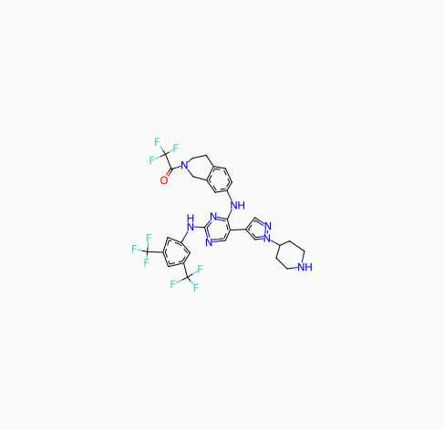 O=C(N1CCc2ccc(Nc3nc(Nc4cc(C(F)(F)F)cc(C(F)(F)F)c4)ncc3-c3cnn(C4CCNCC4)c3)cc2C1)C(F)(F)F